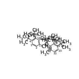 Cc1ccc(C(C)(C)C)c(C(C)(C)C)c1[O][Al]([CH3])[O]c1c(C)ccc(C(C)(C)C)c1C(C)(C)C